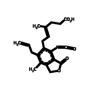 C=CCc1c(C)c2c(c(N=C=O)c1C/C=C(\C)CCC(=O)O)C(=O)OC2